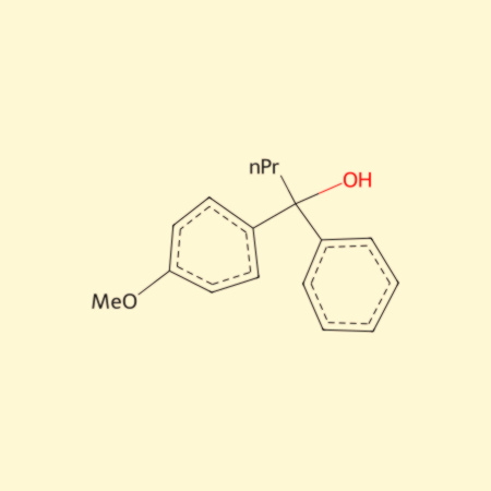 CCCC(O)(c1ccccc1)c1ccc(OC)cc1